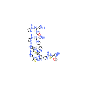 Cc1sc(Nc2cccc(C#N)n2)nc1-c1cn[nH]c1.Cc1sc(Nc2ncccc2C#N)nc1-c1cn[nH]c1.c1ccc(Nc2nc(-c3c[nH]nc3-c3ccco3)cs2)nc1.c1ccc(Nc2nc(-c3cn[nH]c3)c(N3CCCCC3)s2)nc1.c1ccc(Nc2nc(-c3cn[nH]c3)c(N3CCOCC3)s2)nc1